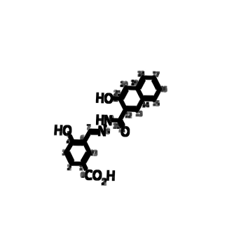 O=C(O)c1ccc(O)c(/C=N/NC(=O)c2cc3ccccc3cc2O)c1